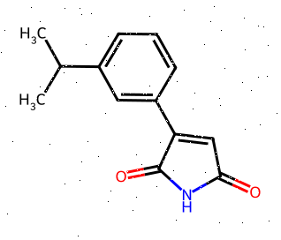 CC(C)c1cccc(C2=CC(=O)NC2=O)c1